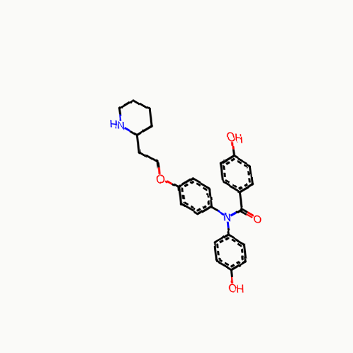 O=C(c1ccc(O)cc1)N(c1ccc(O)cc1)c1ccc(OCCC2CCCCN2)cc1